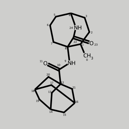 CC1CCC2CCCC1(NC(=O)C13CC4CC(CC(C4)C1)C3)C(=O)N2